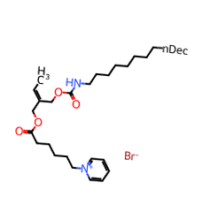 CC=C(COC(=O)CCCCC[n+]1ccccc1)COC(=O)NCCCCCCCCCCCCCCCCCC.[Br-]